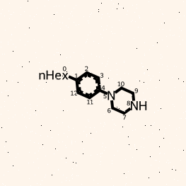 CCCCCCc1ccc(N2CCNCC2)cc1